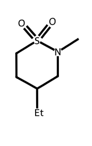 CCC1CCS(=O)(=O)N(C)C1